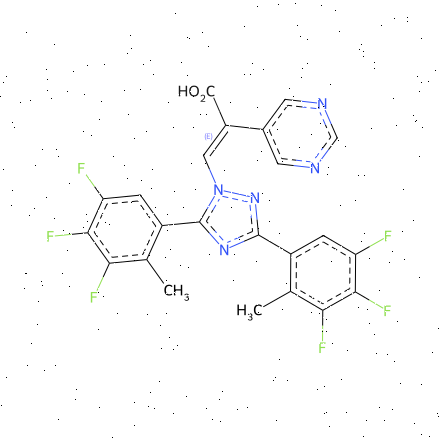 Cc1c(-c2nc(-c3cc(F)c(F)c(F)c3C)n(/C=C(/C(=O)O)c3cncnc3)n2)cc(F)c(F)c1F